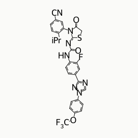 CC(C)c1ccc(C#N)cc1N1C(=O)CS/C1=N\C(=O)Nc1ccc(-c2ncn(-c3ccc(OC(F)(F)F)cc3)n2)cc1F